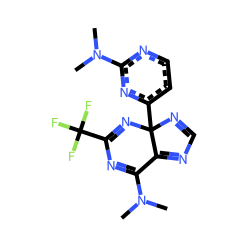 CN(C)C1=NC(C(F)(F)F)=NC2(c3ccnc(N(C)C)n3)N=CN=C12